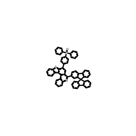 O=P(c1ccccc1)(c1ccccc1)c1ccc(-c2cc3c(-c4ccc5c(c4)C4(c6ccccc6-c6ccccc64)c4ccccc4-5)nc4ccccc4c3c3c2sc2ccccc23)cc1